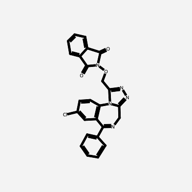 O=C1c2ccccc2C(=O)N1OCc1nnc2n1-c1ccc(Cl)cc1C(c1ccccc1)=NC2